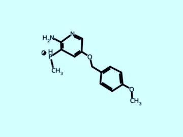 COc1ccc(COc2cnc(N)c([PH](C)=O)c2)cc1